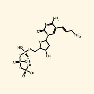 NC/C=C/c1cn([C@H]2C[C@@H](O)[C@@H](COP(=O)(O)OP(=O)(O)OP(=O)(O)O)O2)c(=O)nc1N